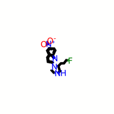 O=[N+]([O-])c1ccc2nc(N3CCNCC3CCCF)ccc2c1